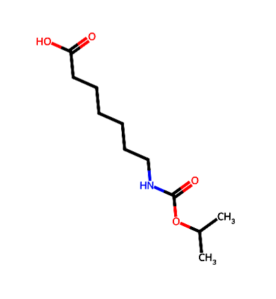 CC(C)OC(=O)NCCCCCCC(=O)O